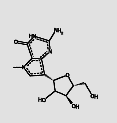 Cn1cc([C@@H]2O[C@H](CO)[C@@H](O)C2O)c2nc(N)[nH]c(=O)c21